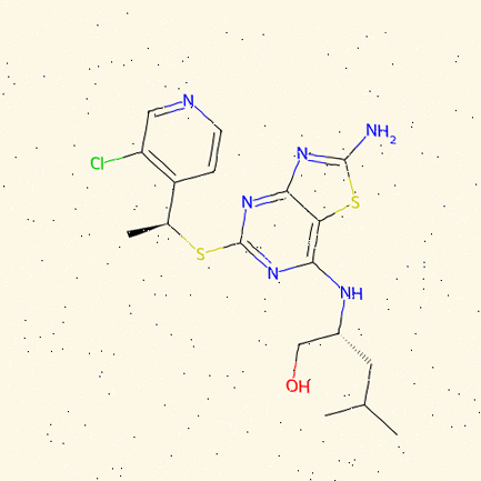 CC(C)C[C@H](CO)Nc1nc(S[C@@H](C)c2ccncc2Cl)nc2nc(N)sc12